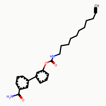 C#CCCCCCCCCCNC(=O)Oc1cccc(-c2cccc(C(N)=O)c2)c1